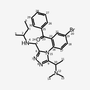 CCC(C)NCc1nnc(C(C)N(C)C)n1-c1ccc(Br)cc1C(=O)c1ccccc1